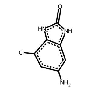 Nc1cc(Cl)c2[nH]c(=O)[nH]c2c1